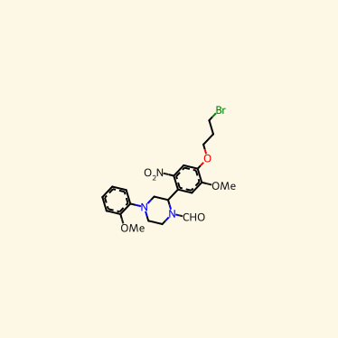 COc1cc(C2CN(c3ccccc3OC)CCN2C=O)c([N+](=O)[O-])cc1OCCCBr